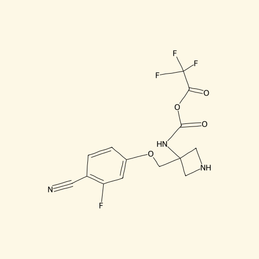 N#Cc1ccc(OCC2(NC(=O)OC(=O)C(F)(F)F)CNC2)cc1F